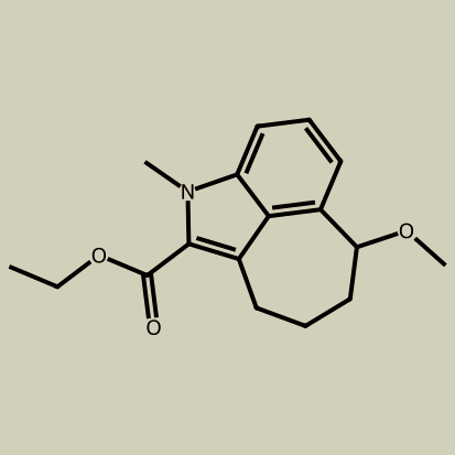 CCOC(=O)c1c2c3c(cccc3n1C)C(OC)CCC2